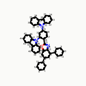 c1ccc(-c2cc(-c3ccccc3)c3nc(-c4ccc(-n5c6ccccc6c6ccccc65)cc4-n4c5ccccc5c5ccccc54)oc3c2)cc1